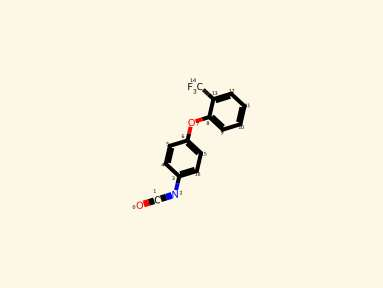 O=C=Nc1ccc(Oc2ccccc2C(F)(F)F)cc1